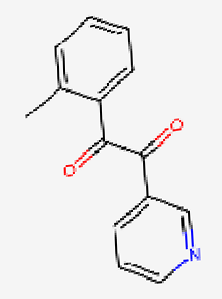 Cc1ccccc1C(=O)C(=O)c1cccnc1